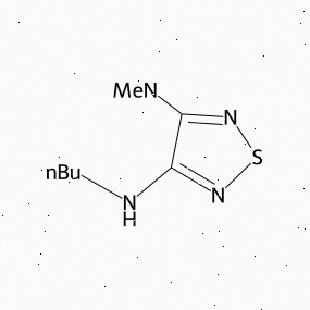 CCCCNc1nsnc1NC